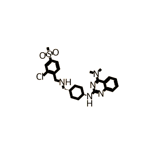 CN(C)c1nc(N[C@H]2CC[C@@H](CNCc3ccc(S(C)(=O)=O)cc3Cl)CC2)nc2ccccc12